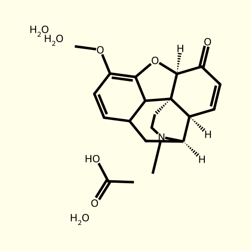 CC(=O)O.COC1=C2O[C@H]3C(=O)C=C[C@H]4[C@H]5CC(C=C1)C2[C@@]34CCN5C.O.O.O